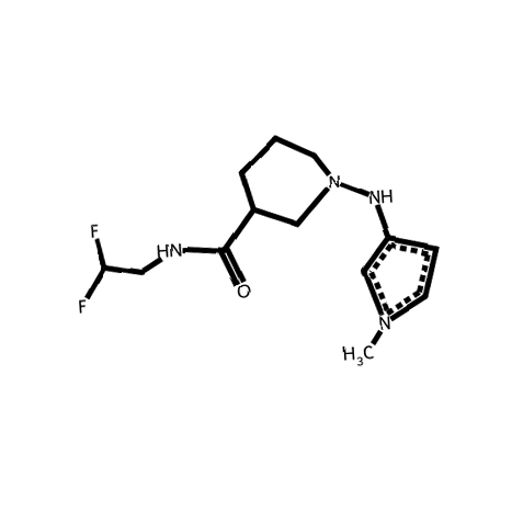 Cn1ccc(NN2CCCC(C(=O)NCC(F)F)C2)c1